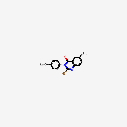 COc1ccc(-n2c(S)nc3ccc(C)cc3c2=O)cc1